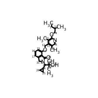 CCC(C)COc1ncc(C)c(COc2cccc3c2C(=O)N(C(C2CC2)C(C)(C)O)C3)c1C